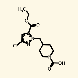 CCOC(=O)c1cc(Cl)nn1CC1CCN(C(=O)O)CC1